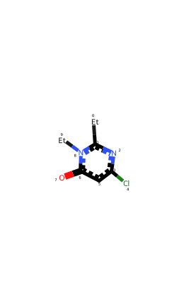 CCc1nc(Cl)cc(=O)n1CC